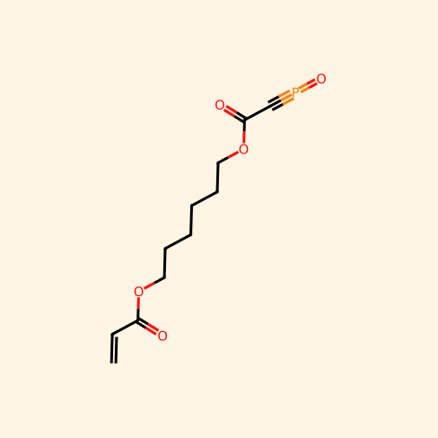 C=CC(=O)OCCCCCCOC(=O)C#P=O